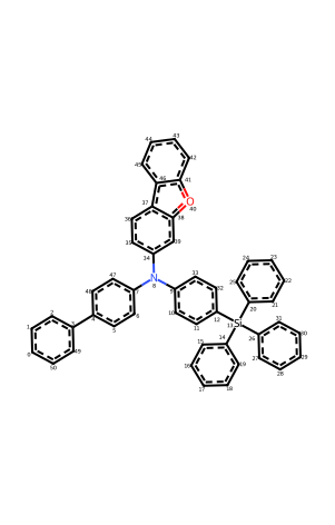 c1ccc(-c2ccc(N(c3ccc([Si](c4ccccc4)(c4ccccc4)c4ccccc4)cc3)c3ccc4c(c3)oc3ccccc34)cc2)cc1